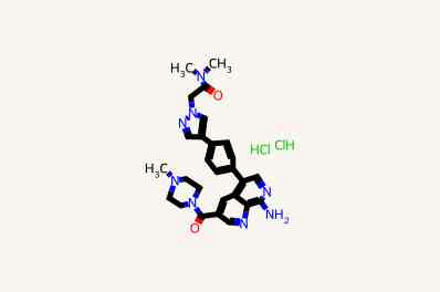 CN1CCN(C(=O)c2cnc3c(N)ncc(-c4ccc(-c5cnn(CC(=O)N(C)C)c5)cc4)c3c2)CC1.Cl.Cl